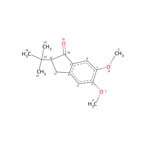 COc1cc2c(cc1OC)C(=O)C(C(C)(C)C)C2